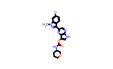 Cn1nc(-c2cnc3[nH]cc(OC(=O)N[C@@H]4CCCOC4)c3n2)c2ccc(Cl)cc21